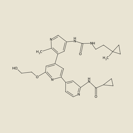 Cc1ncc(NC(=O)NCCC2(C)CC2)cc1-c1cc(OCCO)nc(-c2ccnc(NC(=O)C3CC3)c2)c1